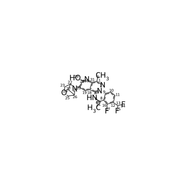 Cc1nnc(N[C@H](C)c2cccc(C(F)F)c2F)c2cc(N3C4COCC3C4)c(O)nc12